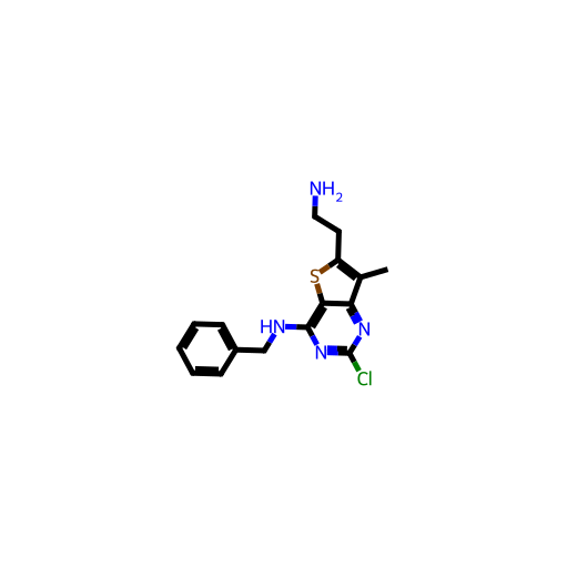 Cc1c(CCN)sc2c(NCc3ccccc3)nc(Cl)nc12